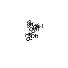 Cc1ccccc1C(O)Nc1ccc(S(=O)(=O)NC(C)C2CCN(C(=O)OC(C)(C)C)CC2)c2ccccc12